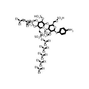 CCN(CC)CC.CCN(CC)CC.CCN(CC)CC.CCN(CC)CC.CCN(CC)CC.CCN(CC)CC.CCN(CC)CC.Nc1ccc(S[C@@H]2O[C@H](COS(=O)(=O)O)[C@@H](O[C@H]3O[C@H](COS(=O)(=O)O)[C@@H](OS(=O)(=O)O)[C@H](OS(=O)(=O)O)[C@H]3OS(=O)(=O)O)[C@H](OS(=O)(=O)O)[C@H]2OS(=O)(=O)O)cc1